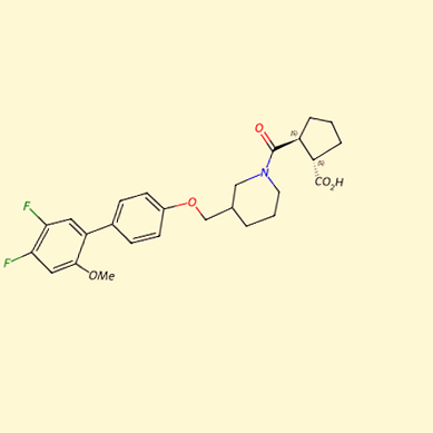 COc1cc(F)c(F)cc1-c1ccc(OCC2CCCN(C(=O)[C@H]3CCC[C@@H]3C(=O)O)C2)cc1